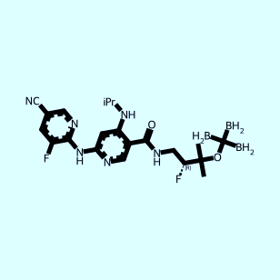 BC(B)(B)OC(C)(C)[C@H](F)CNC(=O)c1cnc(Nc2ncc(C#N)cc2F)cc1NC(C)C